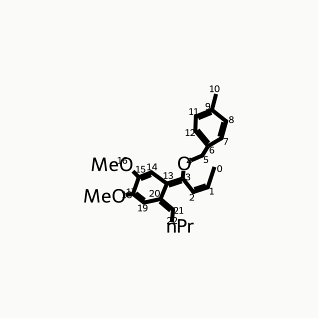 C\C=C/C(OCc1ccc(C)cc1)=c1/cc(OC)c(OC)c/c1=C\CCC